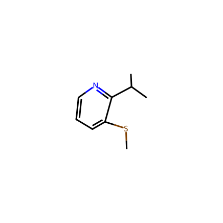 CSc1cccnc1C(C)C